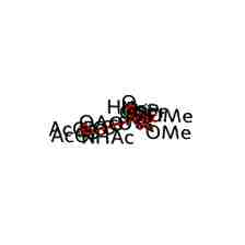 COc1ccc(C(OC[C@]2(CO[Si](C(C)C)(C(C)C)C(C)C)CN(CCOCCOCCOCCOCCO[C@@H]3O[C@H](COC(C)=O)[C@H](OC(C)=O)[C@H](OC(C)=O)[C@H]3NC(C)=O)C[C@H](n3cc(C)c(=O)[nH]c3=O)O2)(c2ccccc2)c2ccc(OC)cc2)cc1